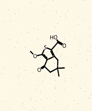 COc1sc(C(=O)O)c2c1C(=O)CC(C)(C)C2